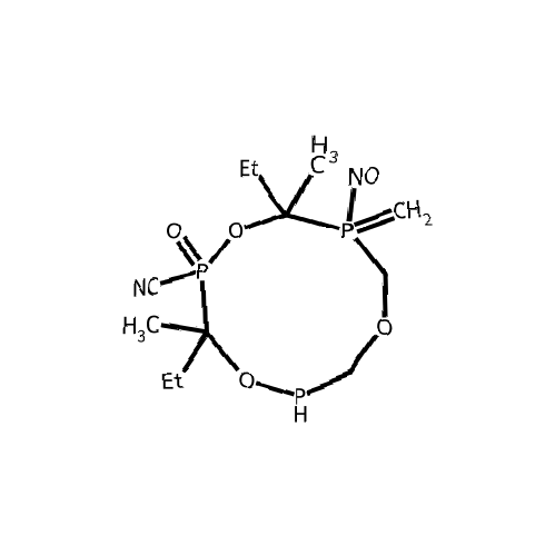 C=P1(N=O)COCPOC(C)(CC)P(=O)(C#N)OC1(C)CC